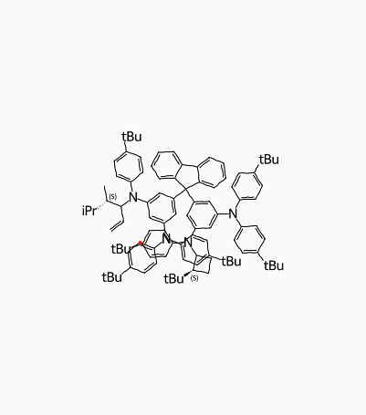 C=CC([C@@H](C)C(C)C)N(c1ccc(C(C)(C)C)cc1)c1cc(N(c2ccc(C(C)(C)C)cc2)c2ccc(C(C)(C)C)cc2)cc(C2(c3cc(N(c4ccc(C(C)(C)C)cc4)c4ccc(C(C)(C)C)cc4)cc(N(c4ccc(C(C)(C)C)cc4)C4CC[C@H]4C(C)(C)C)c3)c3ccccc3-c3ccccc32)c1